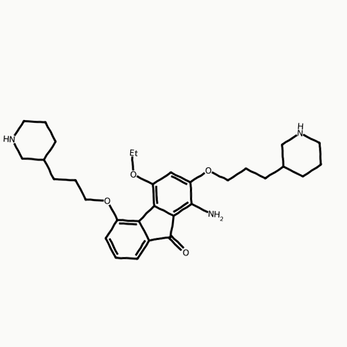 CCOc1cc(OCCCC2CCCNC2)c(N)c2c1-c1c(OCCCC3CCCNC3)cccc1C2=O